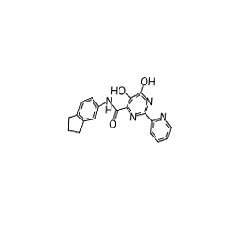 O=C(Nc1ccc2c(c1)CCC2)c1nc(-c2ccccn2)nc(O)c1O